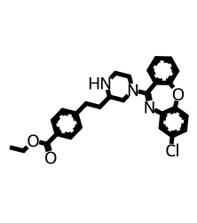 CCOC(=O)c1ccc(CCC2CN(C3=Nc4cc(Cl)ccc4Oc4ccccc43)CCN2)cc1